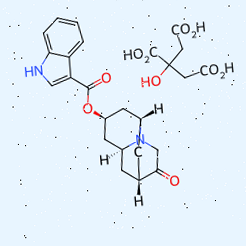 O=C(O)CC(O)(CC(=O)O)C(=O)O.O=C(O[C@@H]1C[C@@H]2C[C@@H]3C[C@H](C1)N2CC3=O)c1c[nH]c2ccccc12